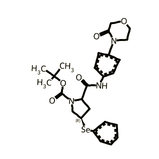 CC(C)(C)OC(=O)N1C[C@H]([Se]c2ccccc2)CC1C(=O)Nc1ccc(N2CCOCC2=O)cc1